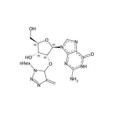 C=C1N=NN(CCCCCC)C1O[C@@H]1[C@H](O)[C@@H](CO)O[C@H]1n1cnc2c(=O)[nH]c(N)nc21